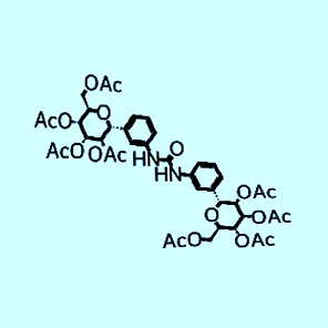 CC(=O)OC[C@H]1O[C@H](c2cccc(NC(=O)Nc3cccc([C@H]4O[C@H](COC(C)=O)[C@@H](OC(C)=O)[C@@H](OC(C)=O)[C@@H]4OC(C)=O)c3)c2)[C@@H](OC(C)=O)[C@@H](OC(C)=O)[C@@H]1OC(C)=O